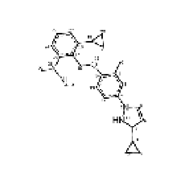 Cc1cc(N2C=CC(C3CC3)N2)ccc1OCc1c(C2CC2)cccc1N(C)N